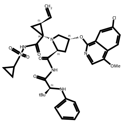 C=C[C@@H]1C[C@@]1(C(=O)NS(=O)(=O)C1CC1)N1C[C@H](Oc2ncc(OC)c3ccc(Cl)cc23)C[C@H]1C(=O)NC(=O)[C@@H](Nc1ccccc1)C(C)(C)C